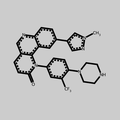 Cn1cc(-c2ccc3ncc4ccc(=O)n(-c5ccc(N6CCNCC6)c(C(F)(F)F)c5)c4c3c2)cn1